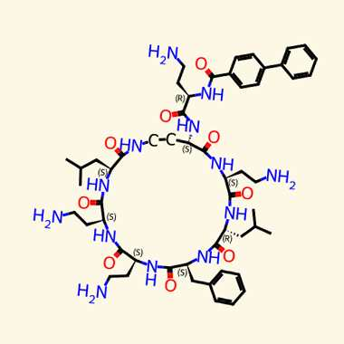 CC(C)C[C@@H]1NC(=O)[C@H](CCN)NC(=O)[C@H](CCN)NC(=O)[C@H](Cc2ccccc2)NC(=O)[C@@H](CC(C)C)NC(=O)[C@H](CCN)NC(=O)[C@@H](NC(=O)[C@@H](CCN)NC(=O)c2ccc(-c3ccccc3)cc2)CCNC1=O